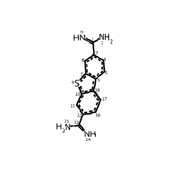 N=C(N)c1ccc2c(c1)sc1cc(C(=N)N)ccc12